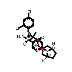 CC(C)(Oc1ccc(Cl)cc1Cl)C(=O)N[C@H]1C[C@H]2CC[C@@H](C1)N2c1ccc(S(N)(=O)=O)cn1